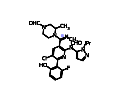 C/N=C(\c1cc(Cl)c(-c2c(O)cccc2F)nc1N(C=O)c1ccnn1C(C)C)N1CCN(C=O)CC1C